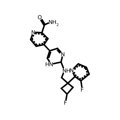 NC(=O)c1cc(C2=CNC(NCC3(c4ncccc4F)CC(F)C3)N=C2)ccn1